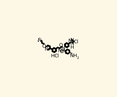 CN(C)CCCOc1ccc(-c2cccc(C[C@H](N)C(=O)N(c3ccc(-c4nnc(Cl)[nH]4)cc3)C(=O)[C@H]3CC[C@H](CN)CC3)c2)cn1.Cl